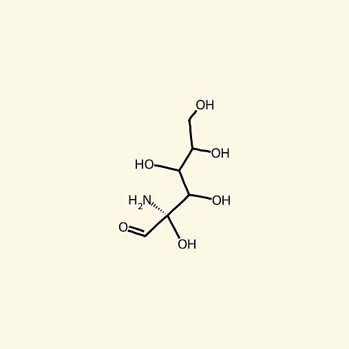 N[C@](O)(C=O)C(O)C(O)C(O)CO